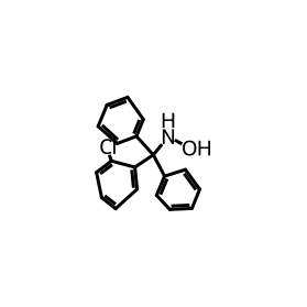 ONC(c1ccccc1)(c1ccccc1)c1ccccc1Cl